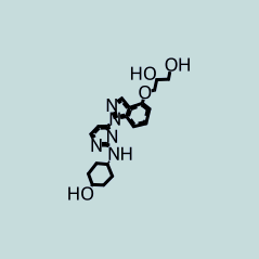 OC[C@H](O)COc1cccc2c1cnn2-c1ccnc(N[C@H]2CC[C@H](O)CC2)n1